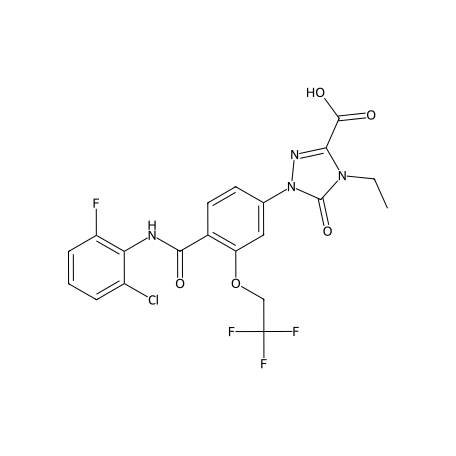 CCn1c(C(=O)O)nn(-c2ccc(C(=O)Nc3c(F)cccc3Cl)c(OCC(F)(F)F)c2)c1=O